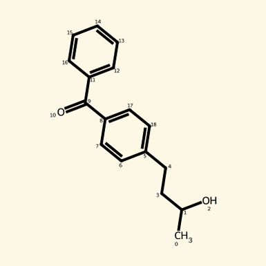 CC(O)CCc1ccc(C(=O)c2ccccc2)cc1